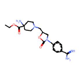 CCOC(=O)C1(N)CCN(CC2CN(c3ccc(C(=N)N)cc3)C(=O)O2)CC1